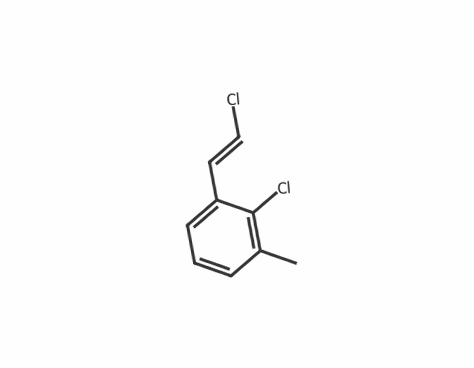 Cc1cccc(C=CCl)c1Cl